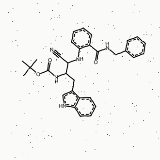 CC(C)(C)OC(=O)NC(Cc1c[nH]c2ccccc12)C(C#N)Nc1ccccc1C(=O)NCc1ccccc1